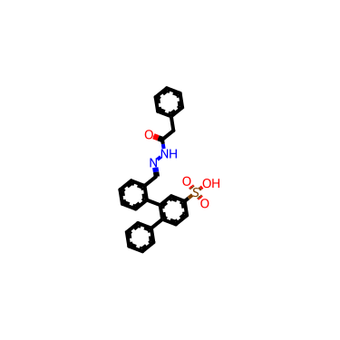 O=C(Cc1ccccc1)NN=Cc1ccccc1-c1cc(S(=O)(=O)O)ccc1-c1ccccc1